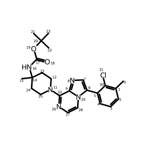 Cc1cccc(-c2cnc3c(N4CCC(C)(NC(=O)OC(C)(C)C)CC4)nccn23)c1Cl